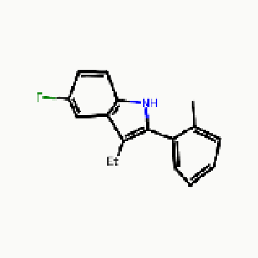 CCc1c(-c2ccccc2C)[nH]c2ccc(F)cc12